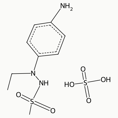 CCN(NS(C)(=O)=O)c1ccc(N)cc1.O=S(=O)(O)O